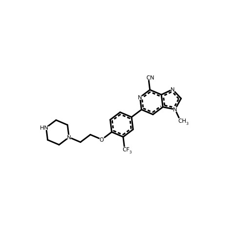 Cn1cnc2c(C#N)nc(-c3ccc(OCCN4CCNCC4)c(C(F)(F)F)c3)cc21